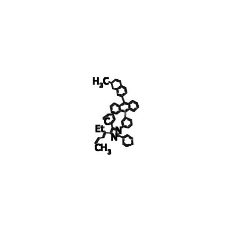 C/C=C\C=C(/CC)c1nc(-c2ccccc2)n(-c2cccc(-c3c4ccccc4c(-c4ccc5c(c4)CC(C)C=C5)c4ccccc34)c2)c1-c1ccccc1